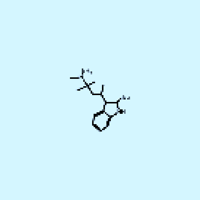 BN(C)C(C)(C)CC(C)C1c2ccccc2NC1C(C)CC